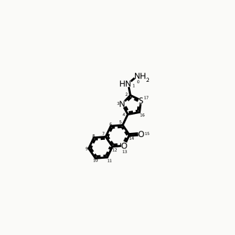 NNc1nc(-c2cc3ccccc3oc2=O)cs1